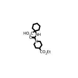 CCOC(=O)C1CCN(C(=O)NC2(C(=O)O)CCCCC2)CC1